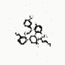 Cc1ccc(F)cc1[C@@H]1[C@@H](C(=O)Nc2cccc(Cl)c2)[C@H](C2C=C(Cl)C=CC2)CC(=O)N1CCCCl